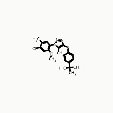 COc1cc(Cl)c(C)cc1-n1nnc(Sc2ccc(C(C)(C)C)cc2)c1C